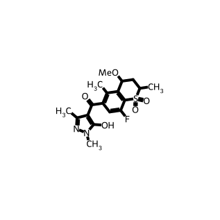 COC1CC(C)S(=O)(=O)c2c(F)cc(C(=O)c3c(C)nn(C)c3O)c(C)c21